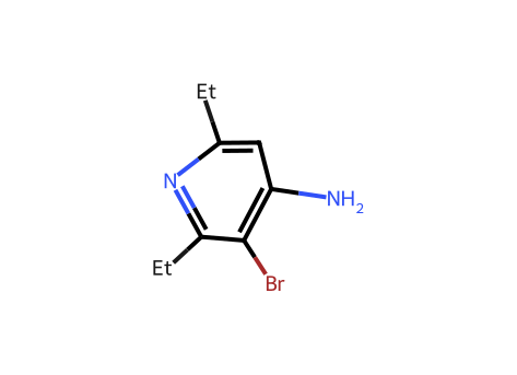 CCc1cc(N)c(Br)c(CC)n1